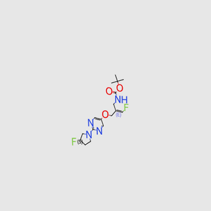 CC(C)(C)OC(=O)NC/C(=C\F)COc1cnc(N2CC[C@H](F)C2)nc1